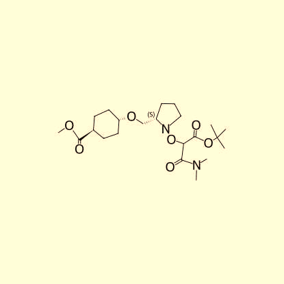 COC(=O)[C@H]1CC[C@H](OC[C@@H]2CCCN2OC(C(=O)OC(C)(C)C)C(=O)N(C)C)CC1